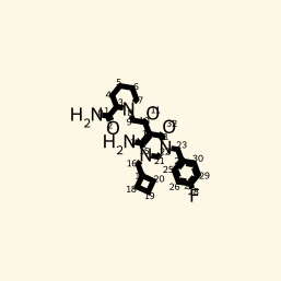 NC(=O)C1CCCCN1CC(=O)C1=C(N)N(CC2CCC2)CN(Cc2ccc(F)cc2)C1=O